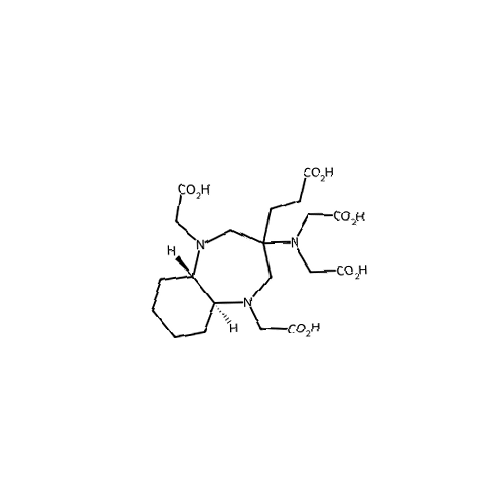 O=C(O)CCC1(N(CC(=O)O)CC(=O)O)CN(CC(=O)O)[C@H]2CCCC[C@@H]2N(CC(=O)O)C1